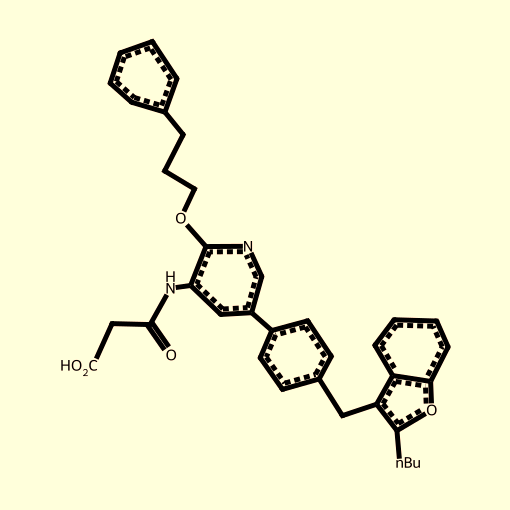 CCCCc1oc2ccccc2c1Cc1ccc(-c2cnc(OCCCc3ccccc3)c(NC(=O)CC(=O)O)c2)cc1